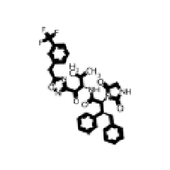 CC(C)[C@H](NC(=O)[C@H]([C@@H](Cc1ccccc1)c1ccccc1)N1C(=O)CNC1=O)C(=O)c1noc(Cc2cccc(C(F)(F)F)c2)n1